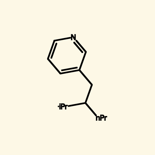 CCCC(Cc1cccnc1)[C](C)C